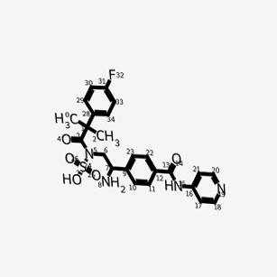 CC(C)(C(=O)N(CC(N)c1ccc(C(=O)Nc2ccncc2)cc1)S(=O)(=O)O)c1ccc(F)cc1